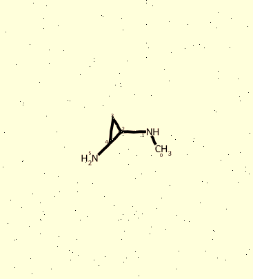 CN[C]1CC1N